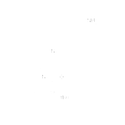 CC(N)c1ccc(N2CCC[C@@H](N(CC3CCC3)C(=O)OC(C)(C)C)C2)cc1